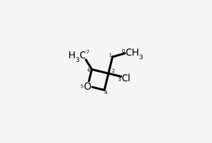 CCC1(Cl)COC1C